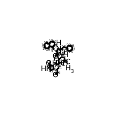 CC(C)C[C@H](NC(=O)[C@H](Cc1cccc2ccccc12)NC(=O)Cc1ccccc1)C(=O)N[C@H](CCC=O)C[C@@H]1CCNC1=O